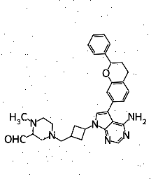 CN1CCN(CC2CC(n3cc(-c4ccc5c(c4)OC(c4ccccc4)CC5)c4c(N)ncnc43)C2)CC1C=O